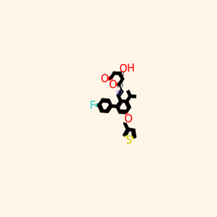 CC(C)c1cc(OCc2ccsc2)cc(-c2ccc(F)cc2)c1/C=C/[C@@H]1C[C@@H](O)CC(=O)O1